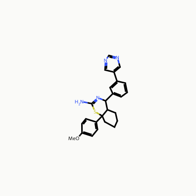 COc1ccc(C23CCCCC2C(c2cccc(-c4cncnc4)c2)N=C(N)S3)cc1